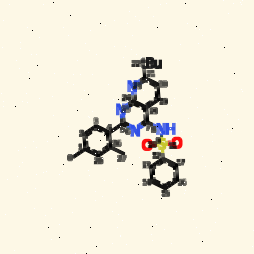 Cc1ccc(-c2nc(NS(=O)(=O)c3ccccc3)c3ccc(C(C)(C)C)nc3n2)c(C)c1